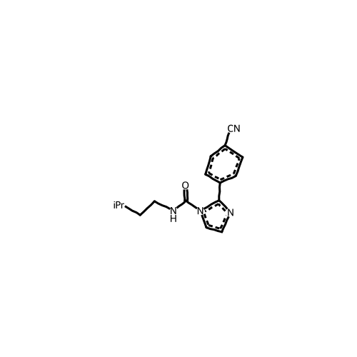 CC(C)CCNC(=O)n1ccnc1-c1ccc(C#N)cc1